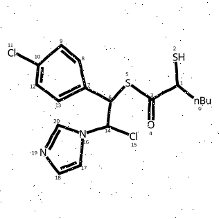 CCCCC(S)C(=O)SC(c1ccc(Cl)cc1)C(Cl)n1ccnc1